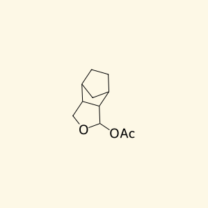 CC(=O)OC1OCC2C3CCC(C3)C12